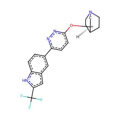 FC(F)(F)c1cc2cc(-c3ccc(O[C@H]4CN5CCC4CC5)nn3)ccc2[nH]1